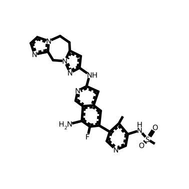 Cc1c(NS(C)(=O)=O)cncc1-c1cc2cc(Nc3cc4n(n3)Cc3nccn3CC4)ncc2c(N)c1F